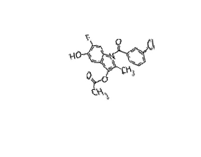 CC(=O)Oc1c(C)n(C(=O)c2cccc(Cl)c2)c2cc(F)c(O)cc12